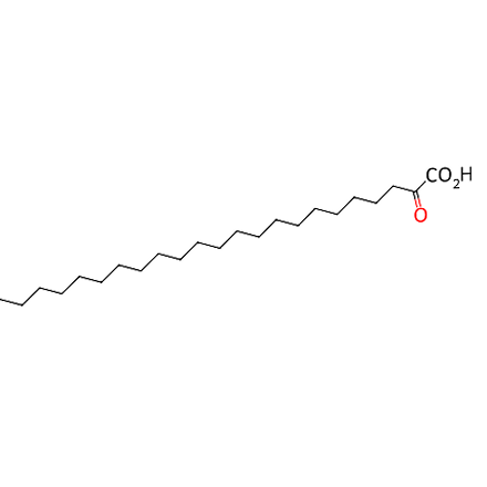 O=C(O)C(=O)CCCCCCCCCCCCCCCCCCCCCBr